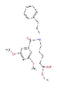 COC(=O)CCCCN(CCCc1ccccc1)C(=O)c1cc(OC)cc(OC)c1